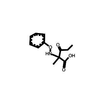 CCC(=O)C(C)(NOc1ccccc1)C(=O)O